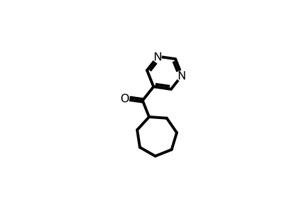 O=C(c1cncnc1)C1CCCCCC1